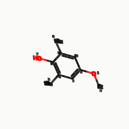 CCOc1cc(C(C)(C)C)c(O)c(C(C)(C)C)c1